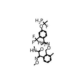 CNC(=O)/C(=N/OC)c1cccc(C)c1CO/N=C(\C)c1ccc(OC(C)(F)P)cc1C(F)(F)P